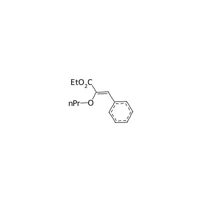 CCCO/C(=C\c1ccccc1)C(=O)OCC